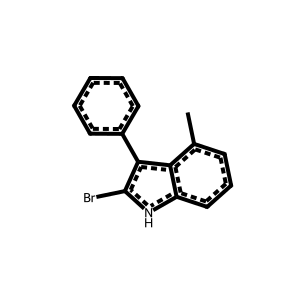 Cc1cccc2[nH]c(Br)c(-c3ccccc3)c12